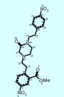 COC(=O)c1cc([N+](=O)[O-])ccc1CCN1CCN(CCc2ccc([N+](=O)[O-])cc2)C(=O)C1